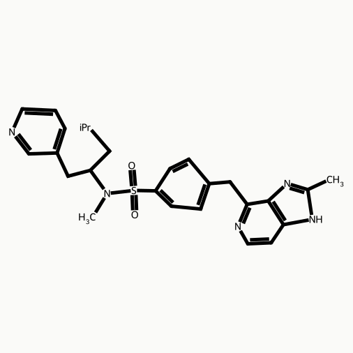 Cc1nc2c(Cc3ccc(S(=O)(=O)N(C)C(Cc4cccnc4)CC(C)C)cc3)nccc2[nH]1